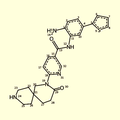 Nc1ccc(-c2cccs2)cc1NC(=O)c1ccc(N2CC3(CCNCC3)CCC2=O)nc1